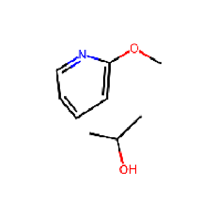 CC(C)O.COc1ccccn1